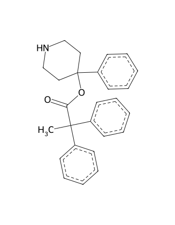 CC(C(=O)OC1(c2ccccc2)CCNCC1)(c1ccccc1)c1ccccc1